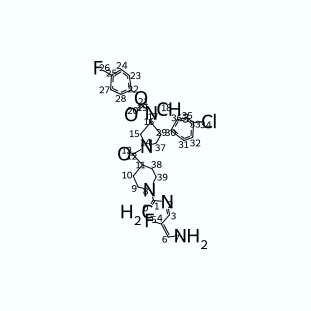 C=C(/N=C\C(F)=C/N)N1CCC(C(=O)N2C[C@@H](N(C)C(=O)Oc3ccc(F)cc3)[C@H](c3ccc(Cl)cc3)C2)CC1